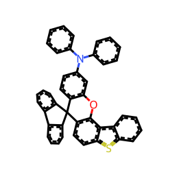 c1ccc(N(c2ccccc2)c2ccc3c(c2)Oc2c(ccc4sc5ccccc5c24)C32c3ccccc3-c3ccccc32)cc1